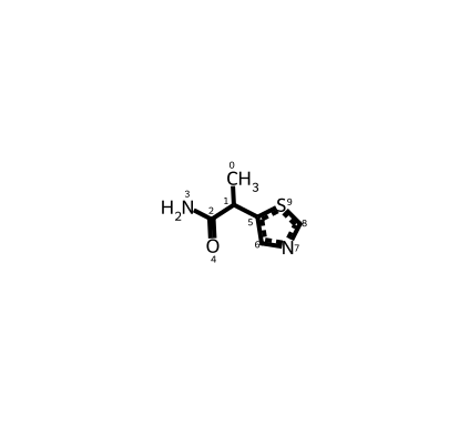 CC(C(N)=O)c1cncs1